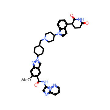 COc1cc2nn(C3CCC(CN4CCC(n5ccc6c(C7CCC(=O)NC7=O)cccc65)CC4)CC3)cc2cc1C(=O)Nc1cnc2cccnn12